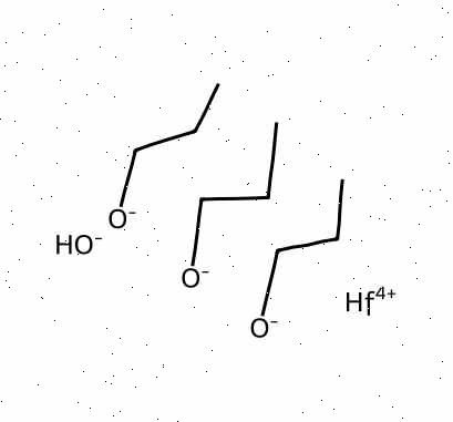 CCC[O-].CCC[O-].CCC[O-].[Hf+4].[OH-]